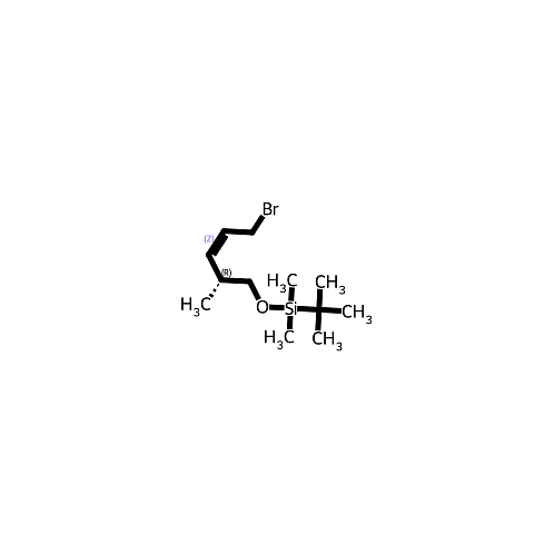 C[C@H](/C=C\CBr)CO[Si](C)(C)C(C)(C)C